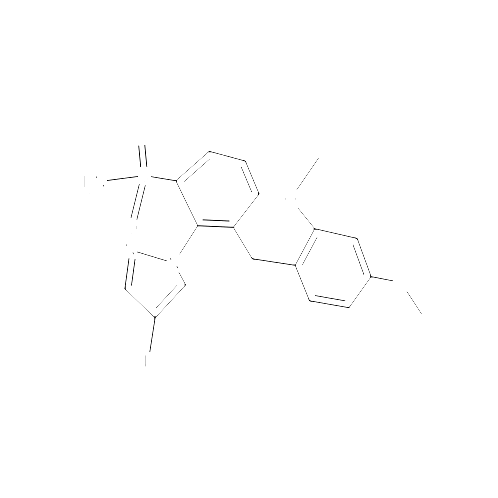 COc1ccc(Cc2cccc(S(N)(=O)=O)c2-n2cc(F)cn2)c(OC)c1